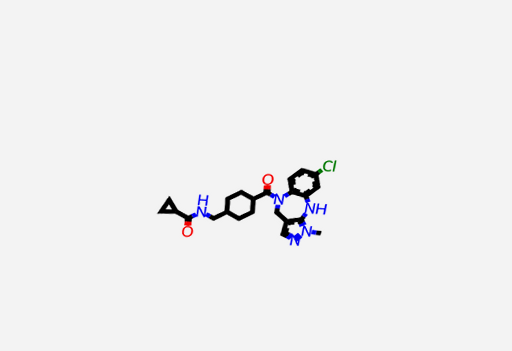 Cn1ncc2c1Nc1cc(Cl)ccc1N(C(=O)C1CCC(CNC(=O)C3CC3)CC1)C2